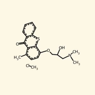 CCl.Cc1ccc(OCC(O)CN(C)C)c2sc3ccccc3c(=O)c12